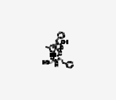 CC(C)C[C@H](NC(=O)[C@H](CCc1ccccc1)NC(=O)CO)C(=O)N[C@@H](Cc1ccccc1)C(=O)O